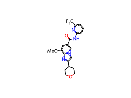 COc1cc(C(=O)Nc2cccc(C(F)(F)F)n2)cn2cc(C3CCOCC3)nc12